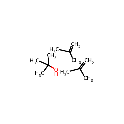 C=C(C)C.C=C(C)C.CC(C)(C)O